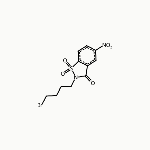 O=C1c2cc([N+](=O)[O-])ccc2S(=O)(=O)N1CCCCBr